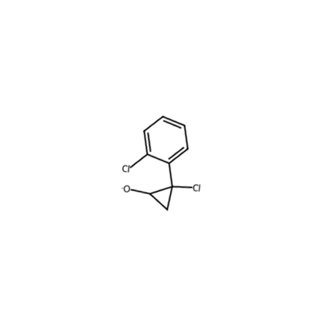 [O]C1CC1(Cl)c1ccccc1Cl